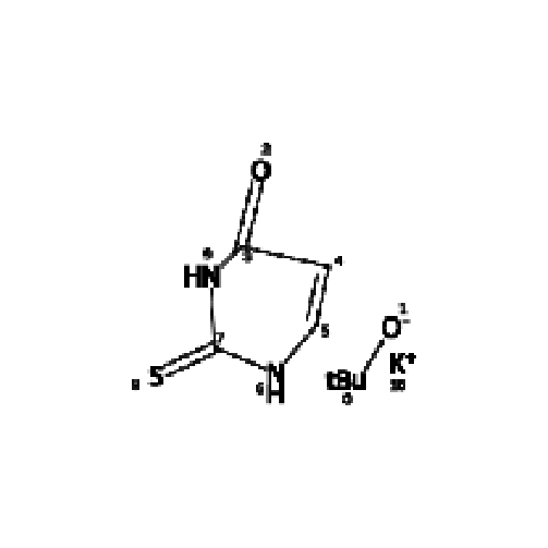 CC(C)(C)[O-].O=c1cc[nH]c(=S)[nH]1.[K+]